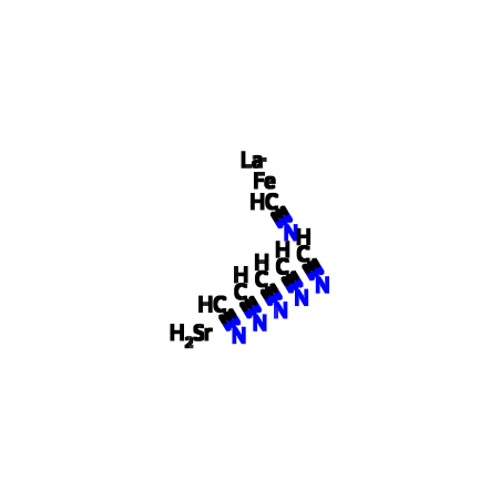 C#N.C#N.C#N.C#N.C#N.C#N.[Fe].[La].[SrH2]